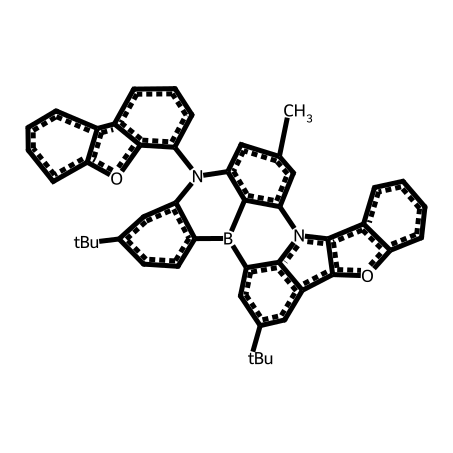 Cc1cc2c3c(c1)-n1c4c(cc(C(C)(C)C)cc4c4oc5ccccc5c41)B3c1ccc(C(C)(C)C)cc1N2c1cccc2c1oc1ccccc12